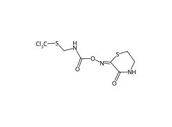 O=C(NCSC(Cl)(Cl)Cl)ON=C1SCCNC1=O